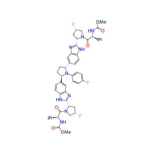 COC(=O)N[C@H](C(=O)N1C[C@@H](F)C[C@H]1c1nc2cc([C@H]3CC[C@H](c4ccc5[nH]c([C@@H]6C[C@H](F)CN6C(=O)[C@@H](NC(=O)OC)C(C)C)nc5c4)N3c3ccc(F)cc3)ccc2[nH]1)C(C)C